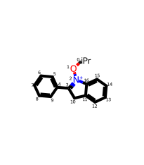 CC(C)O[N+]1=C(c2ccccc2)Cc2ccccc21